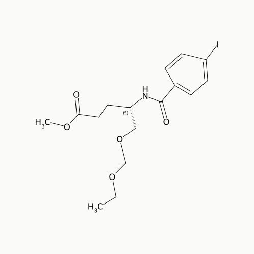 CCOCOC[C@H](CCC(=O)OC)NC(=O)c1ccc(I)cc1